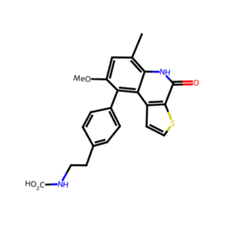 COc1cc(C)c2[nH]c(=O)c3sccc3c2c1-c1ccc(CCNC(=O)O)cc1